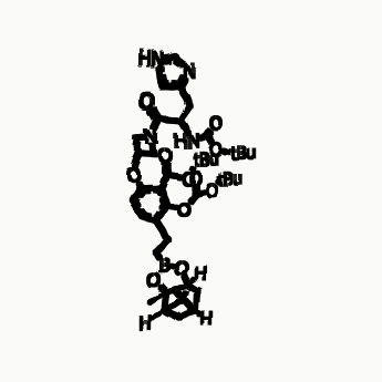 CC(C)(C)OC(=O)N[C@H](Cc1c[nH]cn1)C(=O)N1CC(Oc2ccc(CCB3O[C@@H]4C[C@@H]5C[C@@H](C5(C)C)[C@]4(C)O3)c(OC(=O)OC(C)(C)C)c2C(=O)OC(C)(C)C)C1